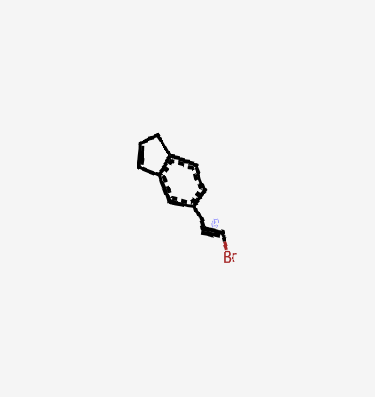 Br/C=C/c1ccc2c(c1)C=CC2